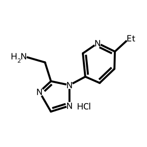 CCc1ccc(-n2ncnc2CN)cn1.Cl